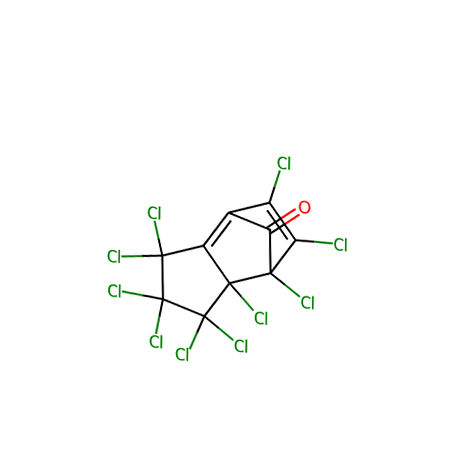 O=C1C2=C3C(Cl)(Cl)C(Cl)(Cl)C(Cl)(Cl)C3(Cl)C1(Cl)C(Cl)=C2Cl